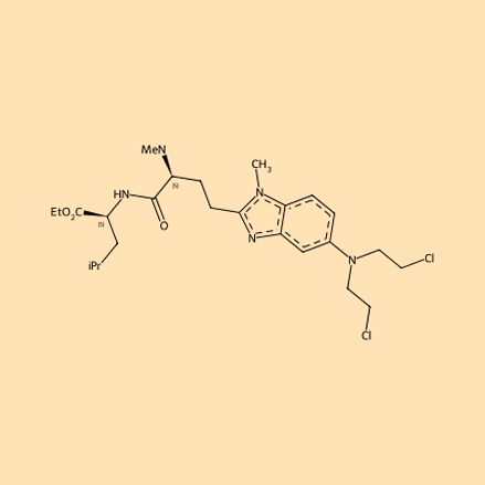 CCOC(=O)[C@H](CC(C)C)NC(=O)[C@H](CCc1nc2cc(N(CCCl)CCCl)ccc2n1C)NC